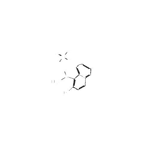 C[S+](C)c1c(O)ccc2ccccc12.[O-][Cl+3]([O-])([O-])[O-]